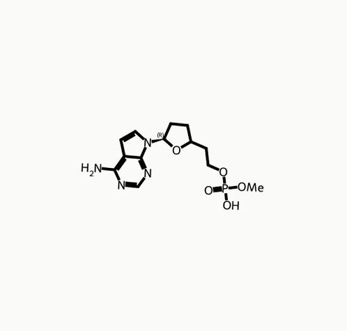 COP(=O)(O)OCCC1CC[C@H](n2ccc3c(N)ncnc32)O1